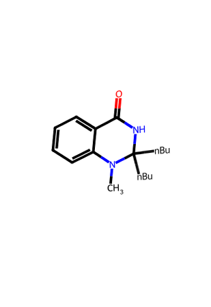 CCCCC1(CCCC)NC(=O)c2ccccc2N1C